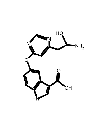 NC(O)Cc1cc(Oc2ccc3[nH]cc(C(=O)O)c3c2)ncn1